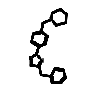 c1ccc(Cc2cnn(-c3ccc(CN4CCCCC4)cc3)n2)cc1